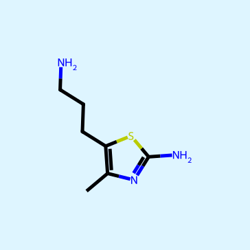 Cc1nc(N)sc1CCCN